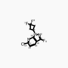 Fc1nn(C2CC(F)(F)C2)c2nc(Cl)ccc12